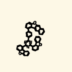 c1ccc2cc3c(cc2c1)oc1cccc(-c2ccc(-c4nc(-c5cccc6oc7ccccc7c56)nc(-c5cccc6oc7ccccc7c56)n4)cc2)c13